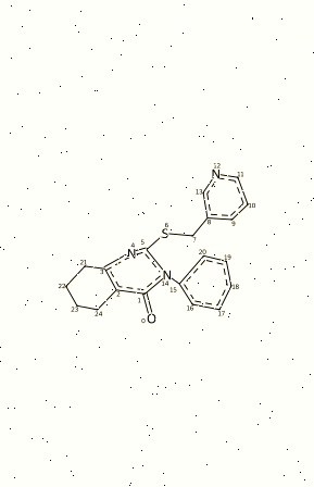 O=c1c2c(nc(SCc3cccnc3)n1-c1ccccc1)CCCC2